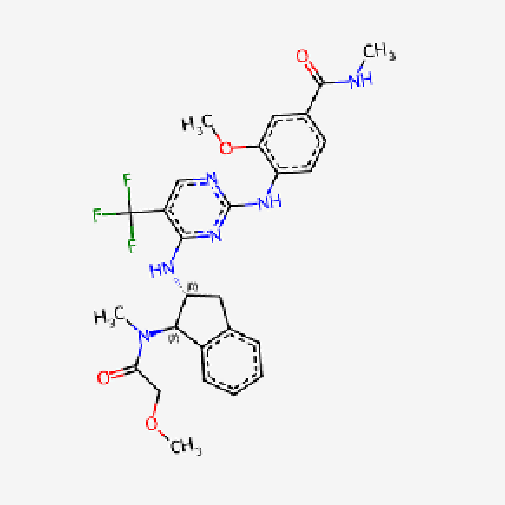 CNC(=O)c1ccc(Nc2ncc(C(F)(F)F)c(N[C@@H]3Cc4ccccc4[C@H]3N(C)C(=O)COC)n2)c(OC)c1